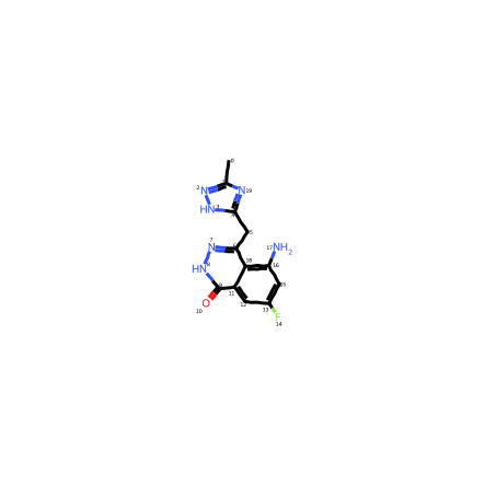 Cc1n[nH]c(Cc2n[nH]c(=O)c3cc(F)cc(N)c23)n1